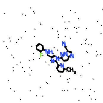 Cc1cccc(-c2nc(CNc3ccccc3F)cn2-c2ccc3ncc(C#N)n3n2)n1